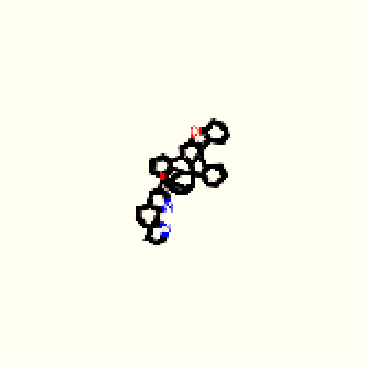 c1cc(-c2cnc3c(ccc4cccnc43)c2)cc(-c2cc3oc4ccccc4c3c3c2C2(c4ccccc4-3)C3CC4CC(C3)CC2C4)c1